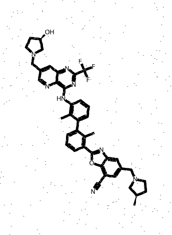 Cc1c(Nc2nc(C(F)(F)F)nc3cc(CN4CC[C@@H](O)C4)cnc23)cccc1-c1cccc(-c2nc3cc(CN4CC[C@@H](C)C4)cc(C#N)c3o2)c1C